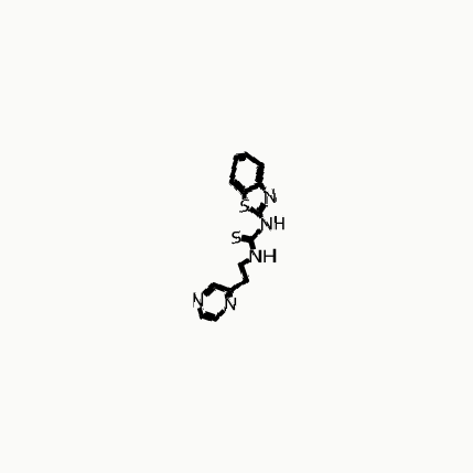 S=C(NCCc1cnccn1)Nc1nc2ccccc2s1